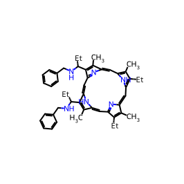 CCC1=C(C)c2cc3[nH]c(cc4nc(cc5[nH]c(cc1n2)c(C)c5C(CC)NCc1ccccc1)C(C(CC)NCc1ccccc1)=C4C)c(C)c3CC